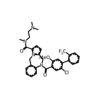 COc1cc(-c2ccccc2C(F)(F)F)c(Cl)cc1C(=O)N1Cc2ccc(C(=O)N(C)CCN(C)C)n2Cc2ccccc21